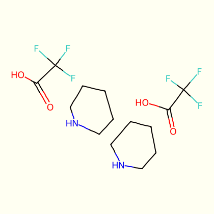 C1CCNCC1.C1CCNCC1.O=C(O)C(F)(F)F.O=C(O)C(F)(F)F